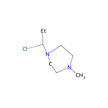 CCC(Cl)N1CCN(C)CC1